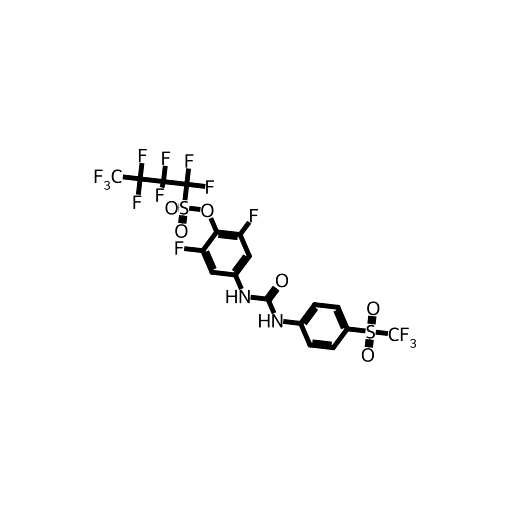 O=C(Nc1ccc(S(=O)(=O)C(F)(F)F)cc1)Nc1cc(F)c(OS(=O)(=O)C(F)(F)C(F)(F)C(F)(F)C(F)(F)F)c(F)c1